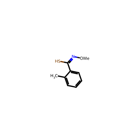 CO/N=C(/S)c1ccccc1C